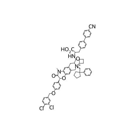 CN1C(=O)[C@H](c2ccc(OCc3ccc(Cl)c(Cl)c3)cc2)Oc2cc3c(cc21)CC(C(=O)NC(Cc1ccc(-c2ccc(C#N)cc2)cc1)C(=O)O)[N@+](CC1(c2ccccc2)CCCC1)(C1CCC1)C3